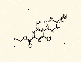 CCOC(=O)c1cc(F)c(N2CCC(C#N)CC2)c(Cl)c1